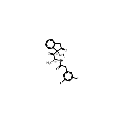 C[C@H](NC(=O)Cc1cc(F)cc(F)c1)C(=O)[C@@]1(N)C(=O)Cc2ccccc21